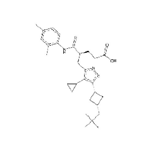 Cc1ccc(NC(=O)[C@@H](CCC(=O)O)Cc2noc([C@H]3C[C@@H](CC(C)(C)C)C3)c2C2CC2)c(C)c1